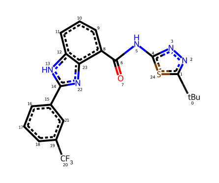 CC(C)(C)c1nnc(NC(=O)c2cccc3[nH]c(-c4cccc(C(F)(F)F)c4)nc23)s1